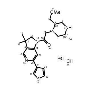 COC[C@H]1CN[C@H](C)CN1CC(=O)N1CC(C)(C)c2cnc(-c3ccsc3)cc21.Cl.Cl